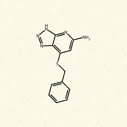 Nc1cc(SCc2ccccc2)c2nn[nH]c2n1